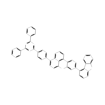 c1ccc(-c2nc(-c3ccccc3)nc(-c3ccc(-c4ccc5c6c(cccc46)-c4ccc(-c6cccc7sc8ccccc8c67)cc4O5)cc3)n2)cc1